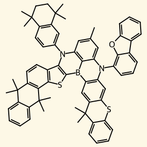 Cc1cc2c3c(c1)N(c1cccc4c1oc1ccccc14)c1cc4c(cc1B3c1sc3c5c(ccc3c1N2c1ccc2c(c1)C(C)(C)CCC2(C)C)C(C)(C)c1ccccc1C5(C)C)C(C)(C)c1ccccc1S4